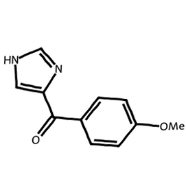 COc1ccc(C(=O)c2c[nH]cn2)cc1